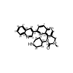 CN1Cc2cnc3ccc(-c4cnc5ccccc5c4)nc3c2N(C2CCNCC2)C1=O